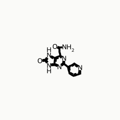 NC(=O)c1nc(-c2cccnc2)nc2[nH]c(=O)[nH]c12